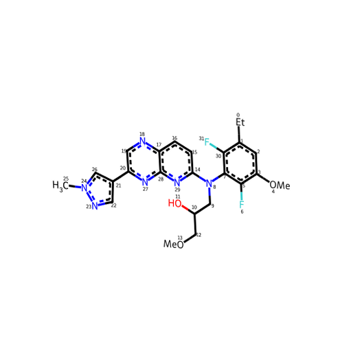 CCc1cc(OC)c(F)c(N(CC(O)COC)c2ccc3ncc(-c4cnn(C)c4)nc3n2)c1F